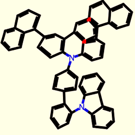 c1ccc(-c2cc(-c3cccc4ccccc34)ccc2N(c2ccc(-c3ccccc3-n3c4ccccc4c4ccccc43)cc2)c2cccc(-c3cccc4ccccc34)c2)cc1